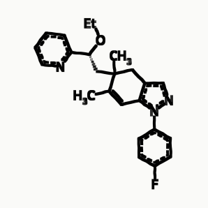 CCO[C@H](CC1(C)Cc2cnn(-c3ccc(F)cc3)c2C=C1C)c1ccccn1